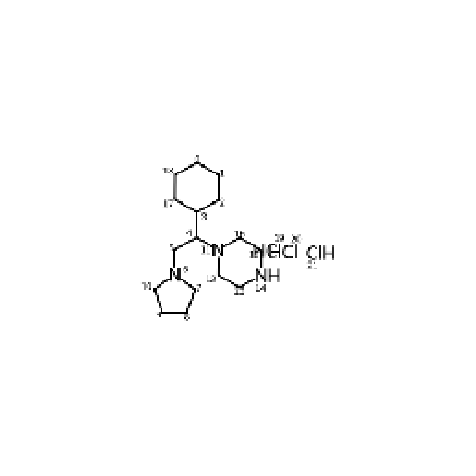 C1CCC(C(CN2CCCC2)N2CCNCC2)CC1.Cl.Cl.Cl